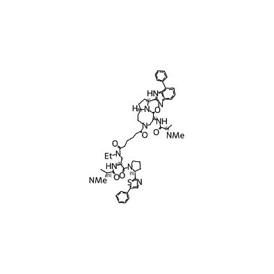 CCN(C[C@H](NC(=O)[C@H](C)NC)C(=O)N1CCC[C@H]1c1ncc(-c2ccccc2)s1)C(=O)CCCCC(=O)N1CC[C@H]2CC[C@@H](c3nc4cccc(-c5ccccc5)c4[nH]3)N2C(=O)[C@@H](NC(=O)[C@H](C)NC)C1